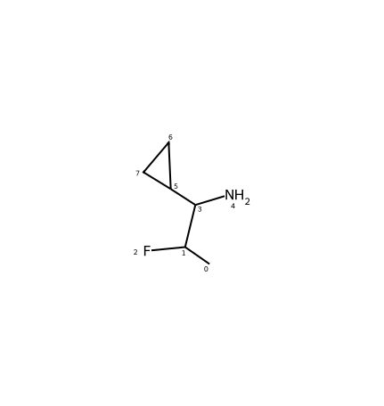 CC(F)C(N)C1CC1